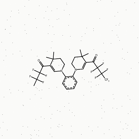 CC1(C)CCN(c2ccccc2N2C=C(C(=O)C(F)(F)C(F)(F)C(F)(F)F)C(C)(C)CC2)C=C1C(=O)C(F)(F)C(C)(F)F